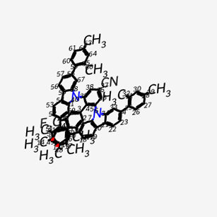 Cc1cc(-c2c(-n3c4cc(-c5ccc(C)cc5C)ccc4c4ccc(-c5ccc(C)cc5C)cc43)cc(C#N)cc2-n2c3cc(-c4ccc(C)cc4C)ccc3c3ccc(-c4ccc(C)cc4C)cc32)cc(C(F)(F)F)c1